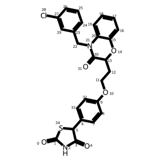 O=C1NC(=O)C(c2ccc(OCCC3Oc4ccccc4N(Cc4cccc(Cl)c4)C3=O)cc2)S1